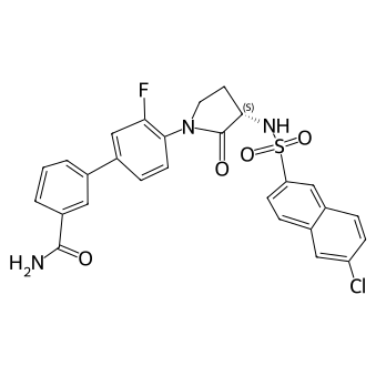 NC(=O)c1cccc(-c2ccc(N3CC[C@H](NS(=O)(=O)c4ccc5cc(Cl)ccc5c4)C3=O)c(F)c2)c1